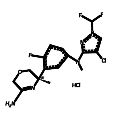 CN(c1ccc(F)c([C@]2(C)COCC(N)=N2)c1)c1nn(C(F)F)cc1Cl.Cl